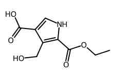 CCOC(=O)c1[nH]cc(C(=O)O)c1CO